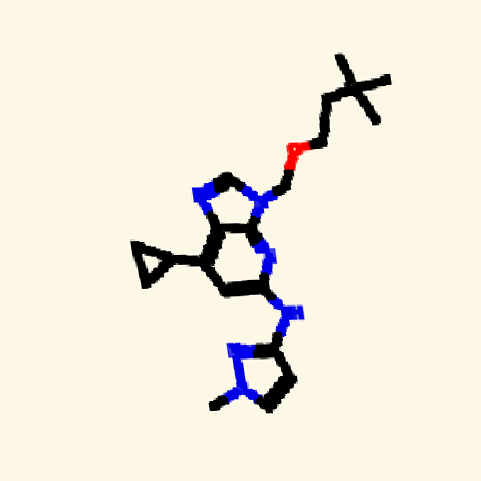 Cn1ccc(Nc2cc(C3CC3)c3ncn(COCC[Si](C)(C)C)c3n2)n1